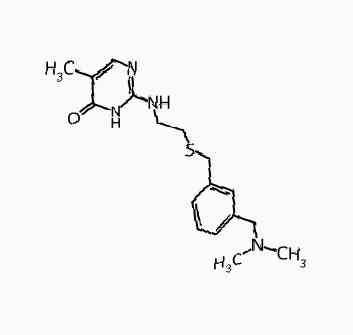 Cc1cnc(NCCSCc2cccc(CN(C)C)c2)[nH]c1=O